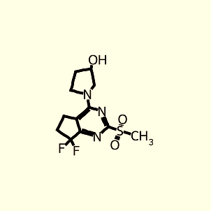 CS(=O)(=O)c1nc(N2CCC(O)C2)c2c(n1)C(F)(F)CC2